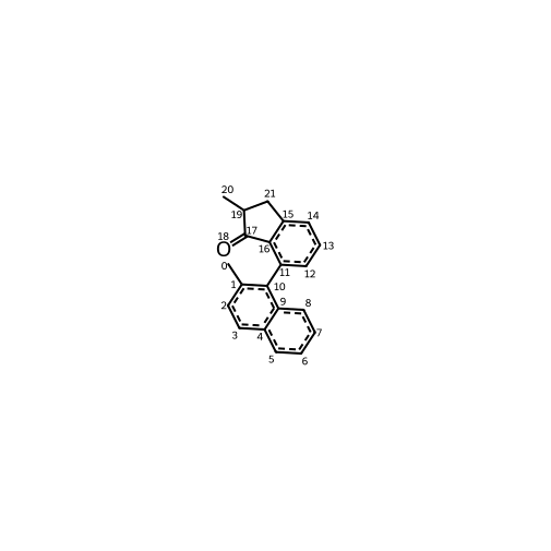 Cc1ccc2ccccc2c1-c1cccc2c1C(=O)C(C)C2